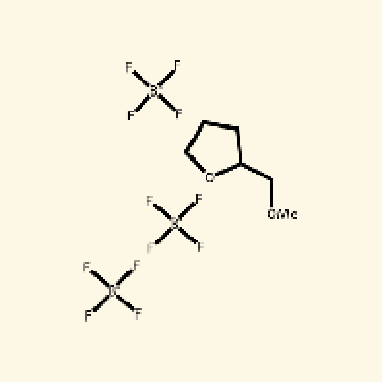 COCC1CCCO1.F[B-](F)(F)F.F[B-](F)(F)F.F[B-](F)(F)F